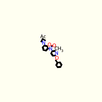 CC(=O)C1CN(c2cccc3c2oc(=O)n3-c2ccc(OCc3ccccc3)nc2C)C1